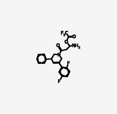 NC(CC(=O)N1CC(c2cc(F)ccc2F)=CC(c2ccccc2)C1)OC(=O)C(F)(F)F